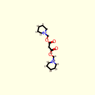 O=C(CC(=O)OCN1CCCCC1)OCN1CCCCC1